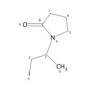 CC(CI)N1CCCC1=O